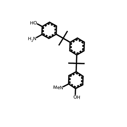 CNc1cc(C(C)(C)c2cccc(C(C)(C)c3ccc(O)c(N)c3)c2)ccc1O